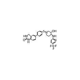 O=C1NCc2cc(-c3ccc(SN4CCC(Nc5ccc(C(F)(F)F)cn5)C(O)C4)cc3)ccc2N1